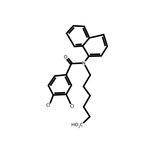 O=C(O)CCCCCN(C(=O)c1ccc(Cl)c(Cl)c1)c1cccc2ccccc12